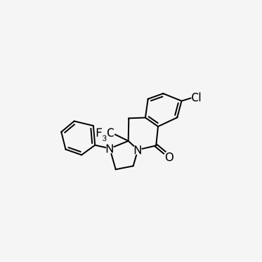 O=C1c2cc(Cl)ccc2CC2(C(F)(F)F)N1CCN2c1ccccc1